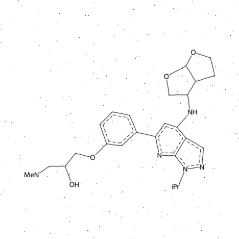 CNCC(O)COc1cccc(-c2cc(NC3COC4OCCC34)c3cnn(C(C)C)c3n2)c1